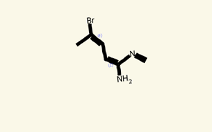 C=N/C(N)=C\C=C(/C)Br